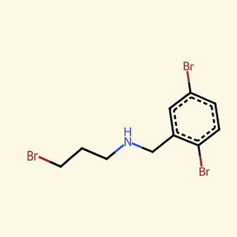 BrCCCNCc1cc(Br)ccc1Br